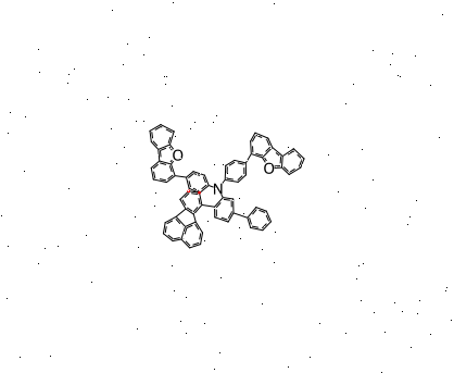 c1ccc(-c2ccc(-c3cccc4c3-c3cccc5cccc-4c35)c(N(c3ccc(-c4cccc5c4oc4ccccc45)cc3)c3ccc(-c4cccc5c4oc4ccccc45)cc3)c2)cc1